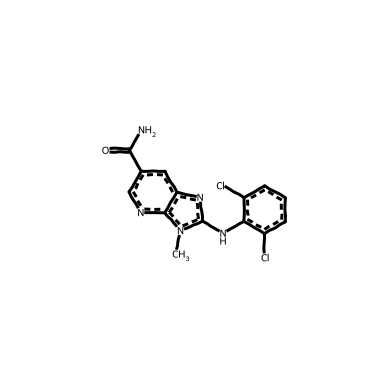 Cn1c(Nc2c(Cl)cccc2Cl)nc2cc(C(N)=O)cnc21